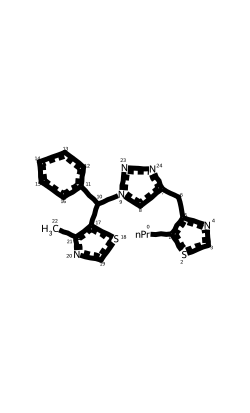 CCCc1scnc1Cc1cn(C(c2ccccc2)c2scnc2C)nn1